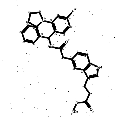 CC(C)(C)OC(=O)CCc1c[nH]c2ccc(CC(=O)NC(c3ccccc3)c3ccc(F)cc3N3CCCC3)cc12